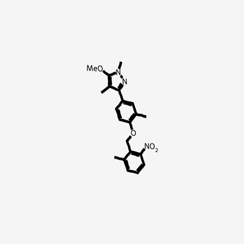 COc1c(C)c(-c2ccc(OCc3c(C)cccc3[N+](=O)[O-])c(C)c2)nn1C